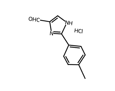 Cc1ccc(-c2nc(C=O)c[nH]2)cc1.Cl